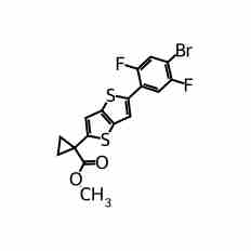 COC(=O)C1(c2cc3sc(-c4cc(F)c(Br)cc4F)cc3s2)CC1